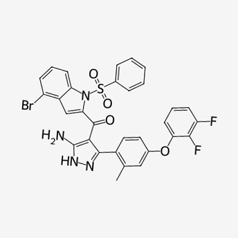 Cc1cc(Oc2cccc(F)c2F)ccc1-c1n[nH]c(N)c1C(=O)c1cc2c(Br)cccc2n1S(=O)(=O)c1ccccc1